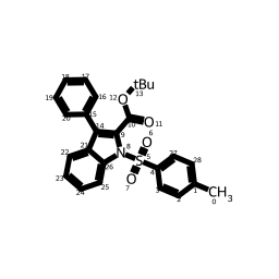 Cc1ccc(S(=O)(=O)n2c(C(=O)OC(C)(C)C)c(-c3ccccc3)c3ccccc32)cc1